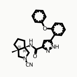 C[C@@]12CCC[C@]1(NC(=O)c1cc(-c3ccccc3Oc3ccccc3)[nH]n1)CN(C#N)C2